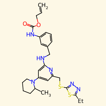 C=CCOC(=O)Nc1cccc(CNc2cc(N3CCCCC3C)cc(CSc3nnc(CC)s3)n2)c1